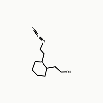 OCCC1CCCCN1CCN=C=S